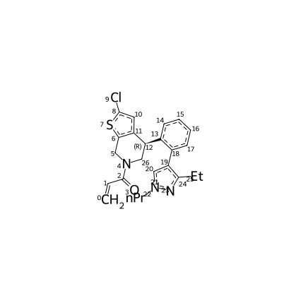 C=CC(=O)N1Cc2sc(Cl)cc2[C@@H](c2ccccc2-c2cn(CCC)nc2CC)C1